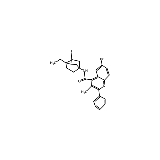 CCC12CCC(NC(=O)c3c(C)c(-c4ccccc4)nc4ccc(Br)cc34)(CC1)CC2F